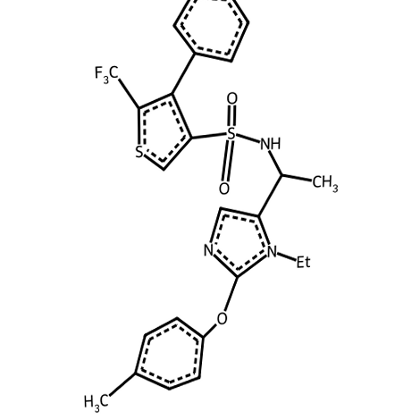 CCn1c(C(C)NS(=O)(=O)c2csc(C(F)(F)F)c2-c2ccccc2)cnc1Oc1ccc(C)cc1